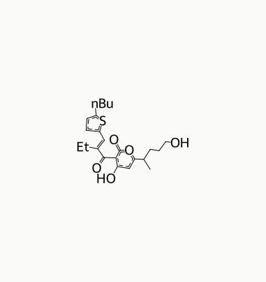 CCCCc1ccc(C=C(CC)C(=O)c2c(O)cc(C(C)CCCO)oc2=O)s1